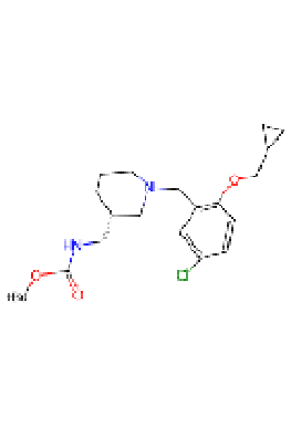 CC(C)(C)OC(=O)NC[C@@H]1CCCN(Cc2cc(Cl)ccc2OCC2CC2)C1